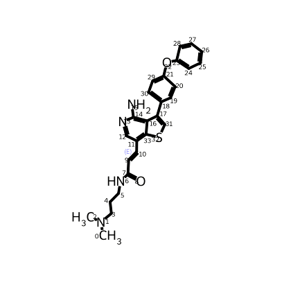 CN(C)CCCNC(=O)/C=C/c1cnc(N)c2c(-c3ccc(Oc4ccccc4)cc3)csc12